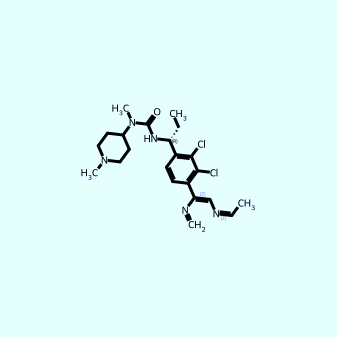 C=N/C(=C\N=C/C)c1ccc([C@@H](CC)NC(=O)N(C)C2CCN(C)CC2)c(Cl)c1Cl